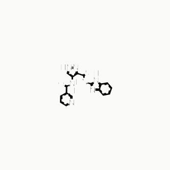 O=C(Nc1c[nH]nc1C(=O)Nc1nc2ccccc2[nH]1)c1cccnc1